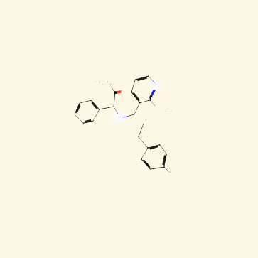 CNC(=O)C(N[C@@H](CCc1ccc(C(F)(F)F)cc1)c1cccnc1OC)c1ccccc1